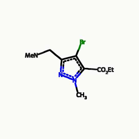 CCOC(=O)c1c(Br)c(CNC)nn1C